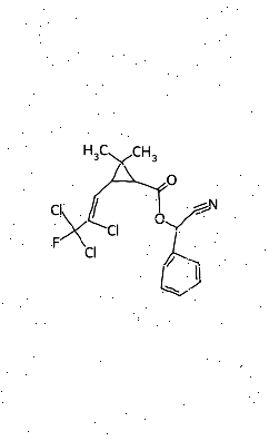 CC1(C)C(C=C(Cl)C(F)(Cl)Cl)C1C(=O)OC(C#N)c1ccccc1